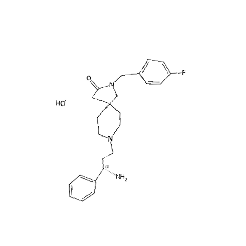 Cl.N[C@@H](CCN1CCC2(CC1)CC(=O)N(Cc1ccc(F)cc1)C2)c1ccccc1